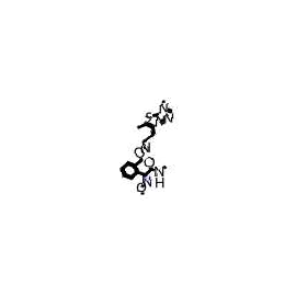 CNC(=O)/C(=N/OC)c1ccccc1CON=CCC1=C(C)SC2N(C)C=NN12